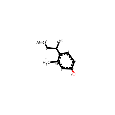 CCC(COC)c1ccc(O)cc1C